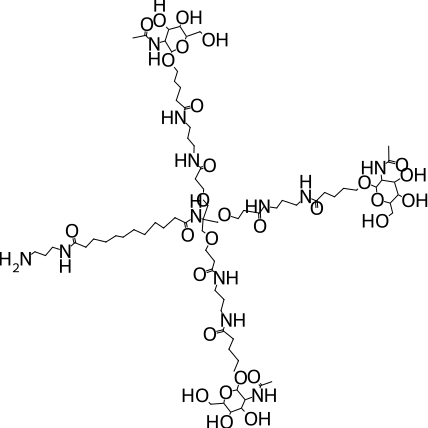 CC(=O)NC1C(OCCCCC(=O)NCCCNC(=O)CCOCC(COCCC(=O)NCCCNC(=O)CCCCOC2OC(CO)C(O)C(O)C2NC(C)=O)(COCCC(=O)NCCCNC(=O)CCCCOC2OC(CO)C(O)C(O)C2NC(C)=O)NC(=O)CCCCCCCCCCC(=O)NCCCN)OC(CO)C(O)C1O